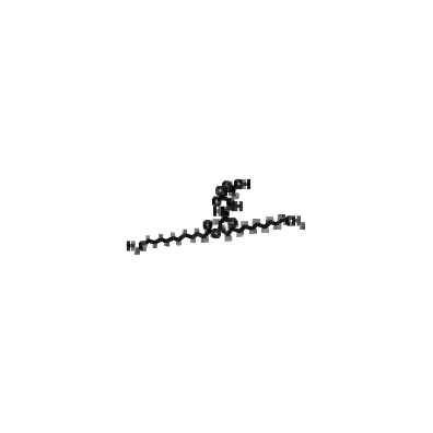 CCCCCCCCCCCC(=O)O[C@H](CCCCCCCCCCC)CC(=O)NN[C@@H](CC(=O)O)C(=O)O